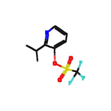 CC(C)c1ncccc1OS(=O)(=O)C(F)(F)F